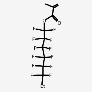 C=C(C)C(=O)OC(F)(F)C(F)(F)C(F)(F)C(F)(F)C(F)(F)C(F)(F)CC